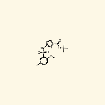 COc1ccc(C)cc1S(=O)(=O)Nc1ccn(C(=O)OC(C)(C)C)n1